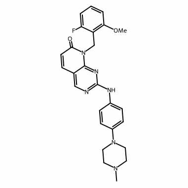 COc1cccc(F)c1Cn1c(=O)ccc2cnc(Nc3ccc(N4CCN(C)CC4)cc3)nc21